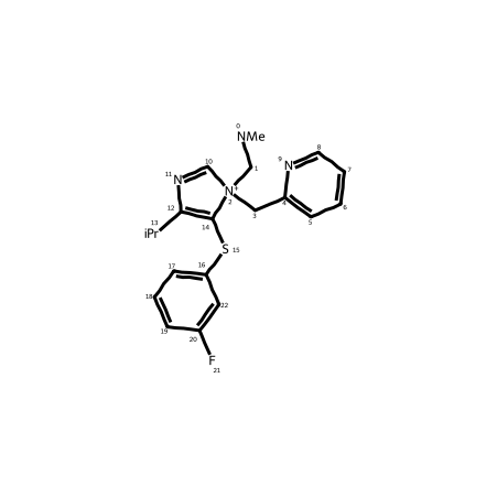 CNC[N+]1(Cc2ccccn2)C=NC(C(C)C)=C1Sc1cccc(F)c1